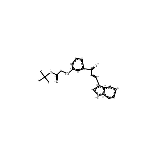 CC(C)(C)OC(=O)COc1cccc(C(=O)C=Cc2c[nH]c3ccccc23)c1